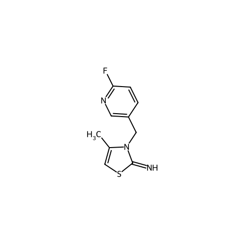 Cc1csc(=N)n1Cc1ccc(F)nc1